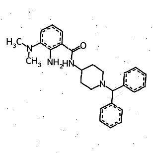 CN(C)c1cccc(C(=O)NC2CCN(C(c3ccccc3)c3ccccc3)CC2)c1N